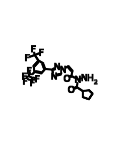 NN(C(=O)/C=C\n1cnc(-c2cc(C(F)(F)F)cc(S(F)(F)(F)(F)F)c2)n1)C(=O)C1CCCC1